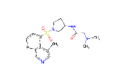 Cc1cncc2cccc(S(=O)(=O)N3CC[C@@H](NC(=O)CN(C)C)C3)c12